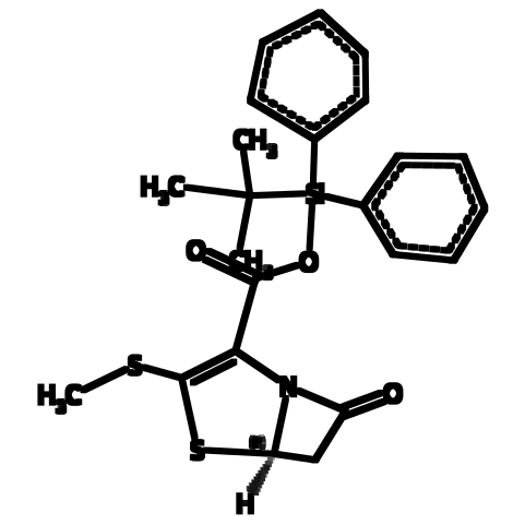 CSC1=C(C(=O)O[Si](c2ccccc2)(c2ccccc2)C(C)(C)C)N2C(=O)C[C@H]2S1